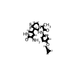 CC(C(=O)Nc1ccc(OCC2CC2)cn1)N1CCC(F)(F)C(c2c[nH]c(=O)c(N)c2)C1